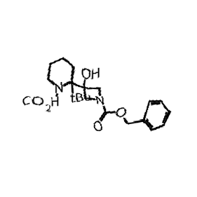 CC(C)(C)C1(C2(O)CN(C(=O)OCc3ccccc3)C2)CCCCN1C(=O)O